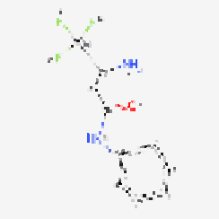 NC(CC(=O)Nc1ccccc1)C(F)(F)F